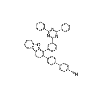 N#Cc1ccc(-c2ccc(-c3ccc4c(oc5ccccc54)c3-c3cccc(-c4nc(-c5ccccc5)nc(-c5ccccc5)n4)c3)cc2)cc1